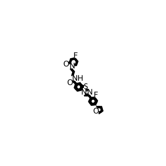 O=C(NCCCN1CCC(F)CC1=O)c1ccc2c(c1)sc1nc(-c3ccc([C@@H]4CCCO4)cc3F)cn12